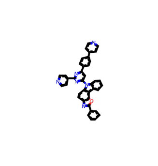 c1ccc(-c2nc3ccc4c(c5ccccc5n4-c4cc(-c5ccc(-c6ccncc6)cc5)nc(-c5ccncc5)n4)c3o2)cc1